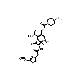 CN1CCN(C(=O)OCC2=C(C(=O)O)N3C(=O)C(NC(=O)Cc4csc(NC=O)n4)[C@H]3[S+]([O-])C2)CC1